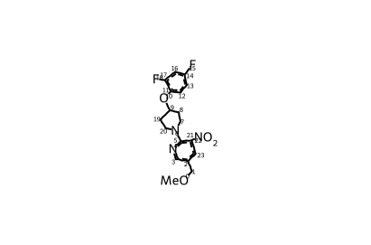 COCc1cnc(N2CCC(Oc3ccc(F)cc3F)CC2)c([N+](=O)[O-])c1